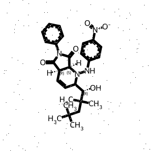 CC(C)(C)CC(C)(C)[C@@H](O)C1C=C[C@H]2C(=O)N(c3ccccc3)C(=O)[C@H]2N1Nc1ccc([N+](=O)[O-])cc1